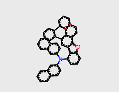 c1ccc(-c2ccccc2-c2cc3c(oc4cccc(N(c5ccc6ccccc6c5)c5ccc6ccccc6c5)c43)c3ccccc23)cc1